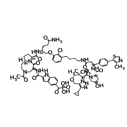 CC(=O)N1CC[C@H]2CC[C@@H](C(=O)N[C@@H](CCC(N)=O)COc3cccc(CCCCNC(=O)C[C@H](NC(=O)[C@@H]4C[C@@H](O)CN4C(=O)[C@H]4n5nnc(C6CC6)c5COCC4(C)C)c4ccc(-c5scnc5C)cc4)c3Cl)N2C(=O)[C@@H](NC(=O)c2cc3cc(C(=O)P(=O)(O)O)ccc3[nH]2)C1